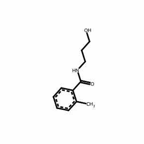 Cc1ccccc1C(=O)NCCCO